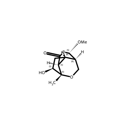 CO[C@H]1OC(=O)[C@H]2[C@@H]3C[C@H](O)[C@@]2(C)OC[C@H]13